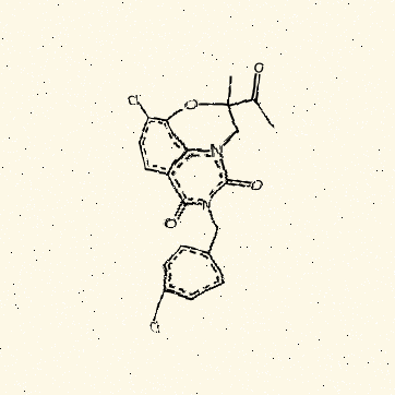 CC(=O)C1(C)Cn2c(=O)n(Cc3ccc(Cl)cc3)c(=O)c3ccc(Cl)c(c32)O1